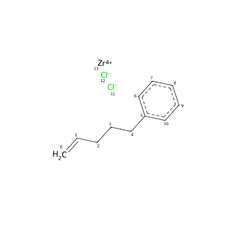 C=CCCCc1ccccc1.[Cl-].[Cl-].[Zr+4]